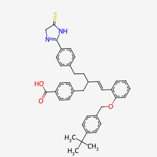 CC(C)(C)c1ccc(COc2ccccc2/C=C/C(CCc2ccc(C3=NCC(=S)N3)cc2)Cc2ccc(C(=O)O)cc2)cc1